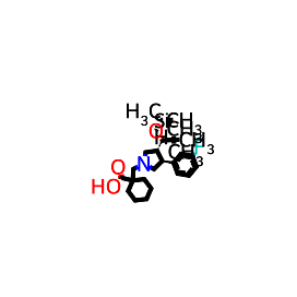 C[SiH](C)OC([C@H]1CN(CC2(C(=O)O)CCCCC2)C[C@@H]1c1cccc(F)c1)C(C)(C)C